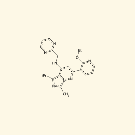 CCOc1ncccc1-c1cc(NCc2ncccn2)c2c(C(C)C)nc(C)n2n1